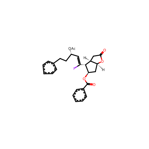 CC(=O)O[C@H](C=C(I)[C@@H]1[C@H]2CC(=O)O[C@H]2C[C@H]1OC(=O)c1ccccc1)CCc1ccccc1